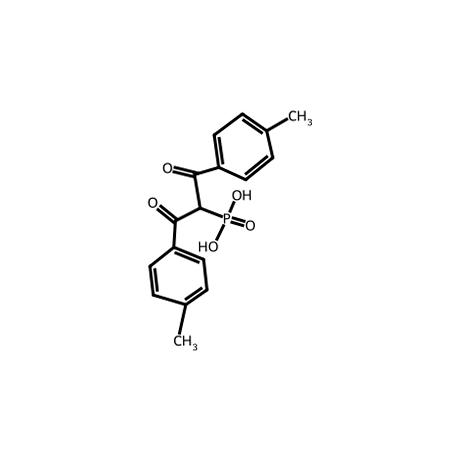 Cc1ccc(C(=O)C(C(=O)c2ccc(C)cc2)P(=O)(O)O)cc1